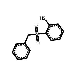 O=S(=O)(Cc1ccccc1)c1ccccc1S